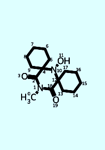 CN1C(=O)C2(CCCCC2)N(O)C2(CCCCC2)C1=O